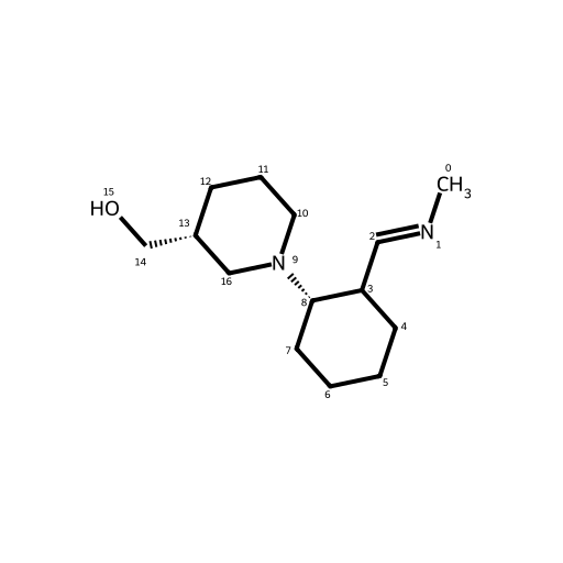 C/N=C/C1CCCC[C@@H]1N1CCC[C@@H](CO)C1